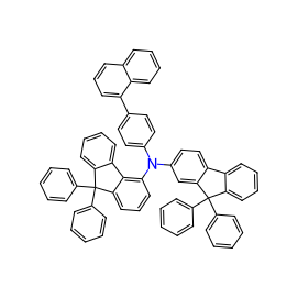 c1ccc(C2(c3ccccc3)c3ccccc3-c3ccc(N(c4ccc(-c5cccc6ccccc56)cc4)c4cccc5c4-c4ccccc4C5(c4ccccc4)c4ccccc4)cc32)cc1